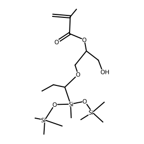 C=C(C)C(=O)OC(CO)COC(CC)[Si](C)(O[Si](C)(C)C)O[Si](C)(C)C